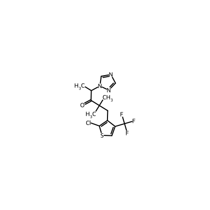 CC(C(=O)C(C)(C)Cc1c(C(F)(F)F)csc1Cl)n1cncn1